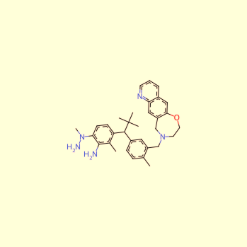 Cc1ccc(C(c2ccc(N(C)N)c(N)c2C)C(C)(C)C)cc1CN1CCOc2cc3cccnc3cc2C1